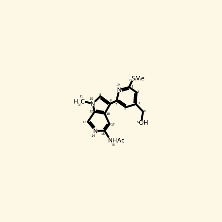 CSc1cc(CO)cc(-c2cn(C)c3cnc(NC(C)=O)cc23)n1